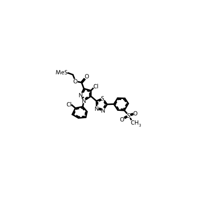 CSCOC(=O)c1nn(-c2ccccc2Cl)c(-c2nnc(-c3cccc(S(C)(=O)=O)c3)s2)c1Cl